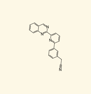 N#CCc1cccc(-c2cccc(-c3ncc4ccccc4n3)n2)c1